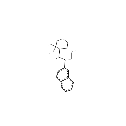 CCCC1(Cl)CNCCC1[C@H](O)[C@H](CNC)c1ccc2ccccc2c1